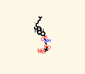 CC(C)CCC[C@@H](C)[C@H]1CC[C@H]2[C@@H]3CC=C4CC(OC(=O)NCCOC(=O)C(C)(CO)CO)CC[C@]4(C)[C@H]3CC[C@]12C